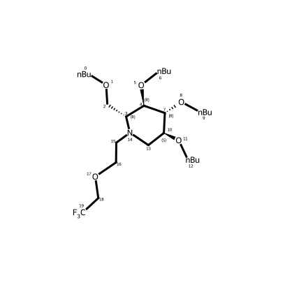 CCCCOC[C@@H]1[C@@H](OCCCC)[C@H](OCCCC)[C@@H](OCCCC)CN1CCOCC(F)(F)F